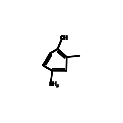 Cc1cc([SiH3])ccc1O